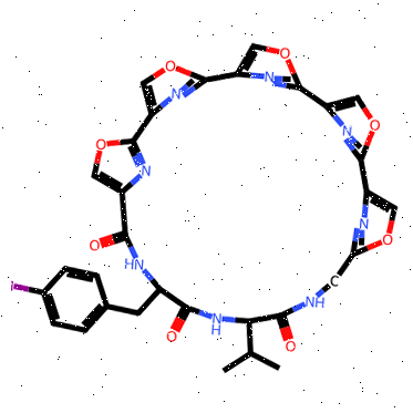 CC(C)C1NC(=O)C(Cc2ccc(I)cc2)NC(=O)c2coc(n2)-c2coc(n2)-c2coc(n2)-c2coc(n2)-c2coc(n2)CNC1=O